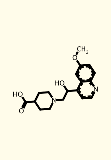 COc1ccc2nccc(C(O)CN3CCC(C(=O)O)CC3)c2c1